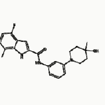 Cc1ccc(F)c2cc(C(=O)Nc3cccc(N4CCC(C)(O)CC4)c3)[nH]c12